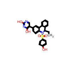 CCC1c2ccccc2-c2cc(-c3cnc(O)nc3O)ccc2N1S(=O)(=O)c1ccc(O)cc1